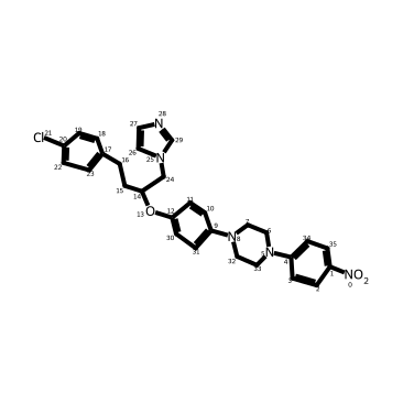 O=[N+]([O-])c1ccc(N2CCN(c3ccc(OC(CCc4ccc(Cl)cc4)Cn4ccnc4)cc3)CC2)cc1